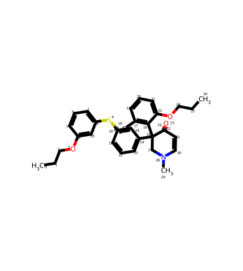 CCCOc1cccc(Sc2cccc(C3(c4c(C)cccc4OCCC)CN(C)C=CC3=O)c2)c1